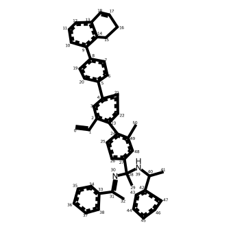 C=Cc1cc(-c2ccc(-c3cccc4c3CCC=C4)cc2)ccc1-c1ccc(C(C)(/N=C(\C)c2ccccc2)NC(C)c2ccccc2)cc1C